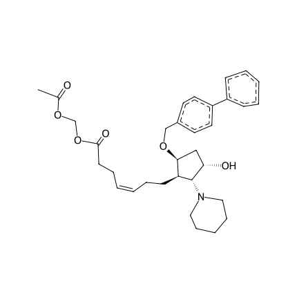 CC(=O)OCOC(=O)CC/C=C\CC[C@@H]1[C@@H](N2CCCCC2)[C@@H](O)C[C@@H]1OCc1ccc(-c2ccccc2)cc1